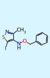 Cc1nsc(I)c1NOCc1ccccc1